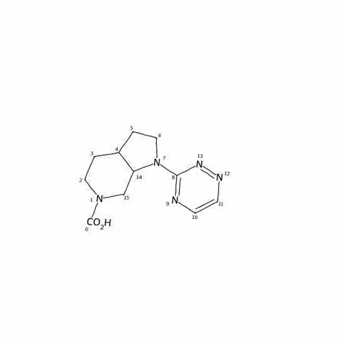 O=C(O)N1CCC2CCN(c3nccnn3)C2C1